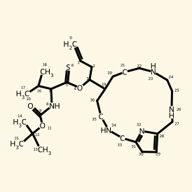 C=CCC(OC(=S)C(NC(=O)OC(C)(C)C)C(C)C)C1CCCNCCNCC2=CCC(=N2)CNCC1